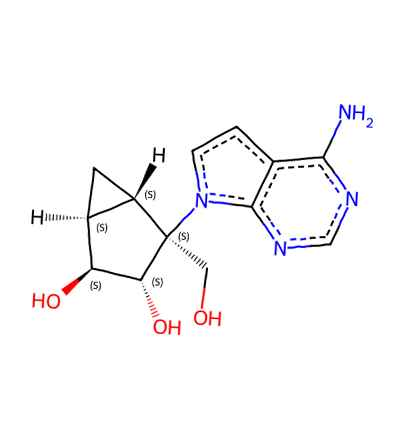 Nc1ncnc2c1ccn2[C@@]1(CO)[C@H](O)[C@@H](O)[C@H]2C[C@@H]21